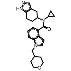 O=C(c1cccc2c1ccn2CC1CCOCC1)N(C1CC1)C1CCc2[nH]ncc2C1